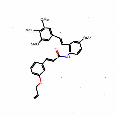 C=CCOc1cccc(/C=C/C(=O)Nc2ccc(OC)cc2C=Cc2cc(OC)c(OC)c(OC)c2)c1